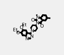 CCOc1cc2ncnc(N3CCC(n4c(=O)c5cc(C)ccc5n(C)c4=O)CC3)c2cc1OCC